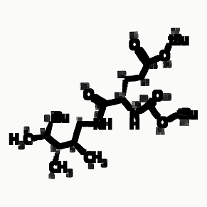 CC[C@H](C)[C@H](C)[C@@H](C)[C@H](C)CNC(=O)[C@H](CCC(=O)OC(C)(C)C)NC(=O)OC(C)(C)C